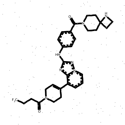 O=C(CCC(F)(F)F)N1CC=C(c2cccn3nc(Nc4ccc(C(=O)N5CCC6(CCN6)CC5)cc4)nc23)CC1